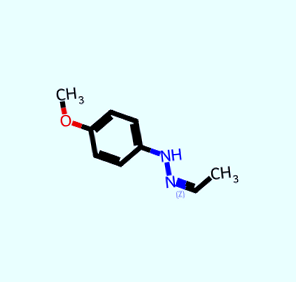 C/C=N\Nc1ccc(OC)cc1